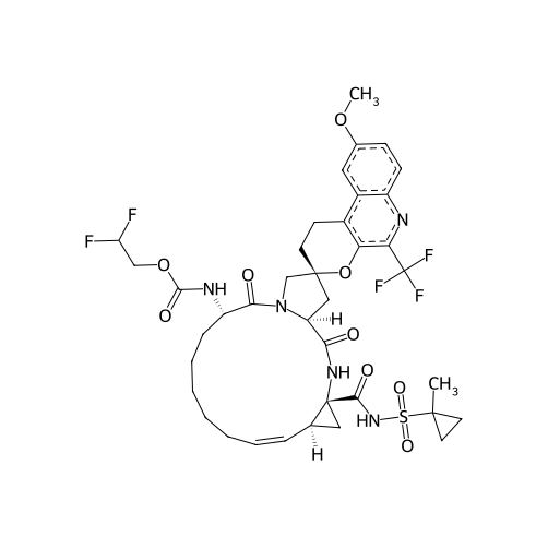 COc1ccc2nc(C(F)(F)F)c3c(c2c1)CC[C@]1(C[C@H]2C(=O)N[C@]4(C(=O)NS(=O)(=O)C5(C)CC5)C[C@H]4/C=C\CCCCC[C@H](NC(=O)OCC(F)F)C(=O)N2C1)O3